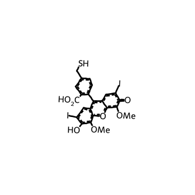 COc1c2oc3c(OC)c(O)c(I)cc3c(-c3ccc(CS)cc3C(=O)O)c-2cc(I)c1=O